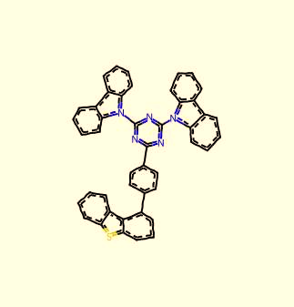 c1ccc2c(c1)sc1cccc(-c3ccc(-c4nc(-n5c6ccccc6c6ccccc65)nc(-n5c6ccccc6c6ccccc65)n4)cc3)c12